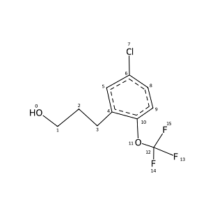 OCCCc1cc(Cl)ccc1OC(F)(F)F